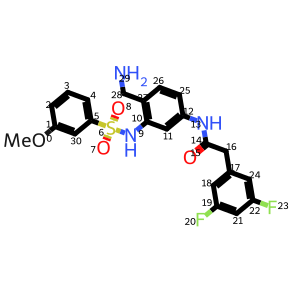 COc1cccc(S(=O)(=O)Nc2cc(NC(=O)Cc3cc(F)cc(F)c3)ccc2CN)c1